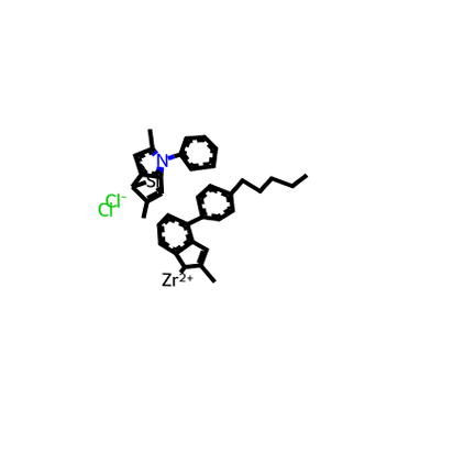 CC1=C2c3c(cc(C)n3-c3ccccc3)C1[Si]2(C)C.CCCCCc1ccc(-c2cccc3c2C=C(C)[CH]3[Zr+2])cc1.[Cl-].[Cl-]